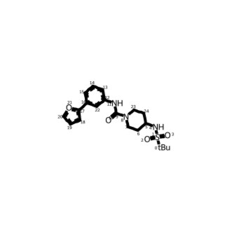 CC(C)(C)S(=O)(=O)NC1CCN(C(=O)Nc2cccc(-c3ccco3)c2)CC1